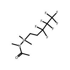 CC(=O)N(C)[Si](C)(C)CCC(F)(F)C(F)(F)C(F)(F)F